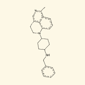 Cc1ncc2c3c(cccc13)N(C1CCC(NCc3ccccc3)CC1)CC2